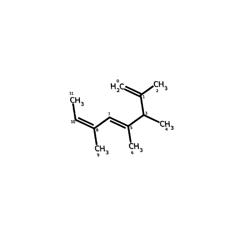 C=C(C)C(C)/C(C)=C/C(C)=C\C